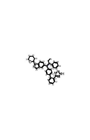 CC/C(=C(/c1ccc(-c2ccccc2-c2nn[nH]n2)cc1)c1ccc2c(cnn2C2CCCCO2)c1)c1ccccc1